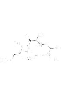 CC[C@H](C)[C@@H]([C@@H](CC(=O)O)OC)N(C)C(=O)C(NCC(C(C)C)N(C)C)C(C)C